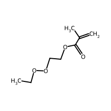 C=C(C)C(=O)OCCOOCC